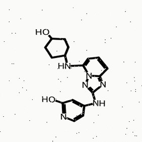 Oc1cc(Nc2nc3cccc(NC4CCC(O)CC4)n3n2)ccn1